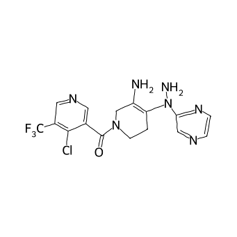 NC1=C(N(N)c2cnccn2)CCN(C(=O)c2cncc(C(F)(F)F)c2Cl)C1